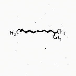 C=CCCCCCCC=CC(C)C